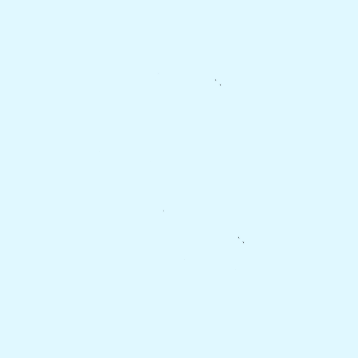 Cc1ccc(OCC2=C(c3cccnc3Cl)CCCC2)cn1